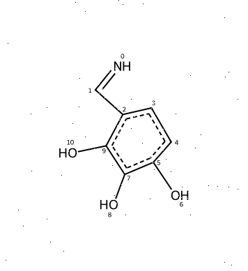 N=Cc1ccc(O)c(O)c1O